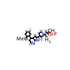 COc1ccc(F)cc1-c1ccnc2[nH]c(C3=CCN(CC(C)(C)O)CC3)cc12